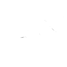 Cl.Cl.O=C(N[C@@H]1CCOc2ccccc21)[C@@H]1CN2CC(F)(F)C[C@@H]2CN1